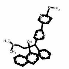 COc1ccc(-c2ccc(C(c3ccccc3)C(O)(CCN(C)C)c3cccc4ccccc34)cn2)cn1